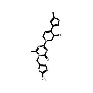 Cc1cc(C2=CCN(c3nc(C)n(Cc4cnc(C(F)(F)F)s4)c(=O)n3)CC2O)cs1